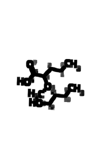 CCCC(OC)C(=O)O.CCCCO